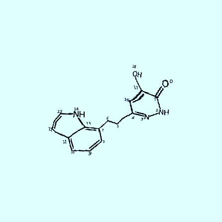 O=c1[nH]nc(CCc2cccc3cc[nH]c23)cc1O